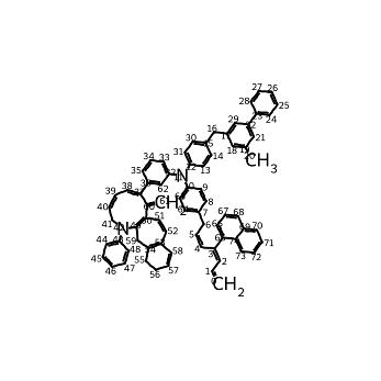 C=C/C=C(\C=C/Cc1ccc(N(c2ccc(Cc3cc(C)cc(-c4ccccc4)c3)cc2)c2cccc(/C3=C/C=C\CN(c4ccccc4)C4=C(C=CC5=C(CCC=C5)C4)C3=C)c2)cc1)c1cccc2ccccc12